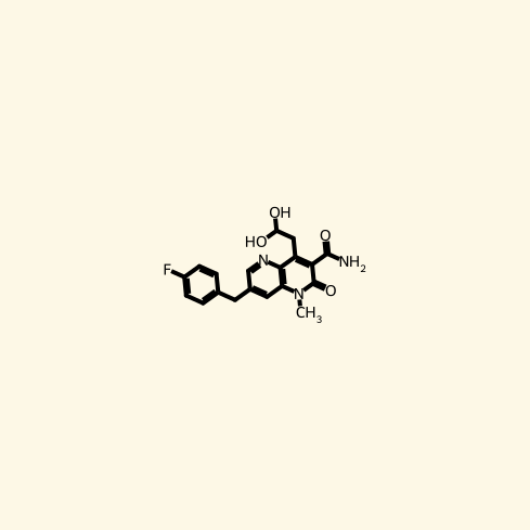 Cn1c(=O)c(C(N)=O)c(CC(O)O)c2ncc(Cc3ccc(F)cc3)cc21